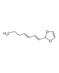 CCC/C=C/C=C/C1OC=CO1